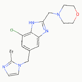 CCc1nccn1Cc1cc(Cl)c2[nH]c(CN3CCOCC3)nc2c1